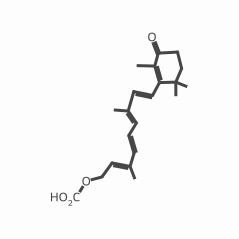 CC(C=CC1=C(C)C(=O)CCC1(C)C)=CC=CC(C)=CCOC(=O)O